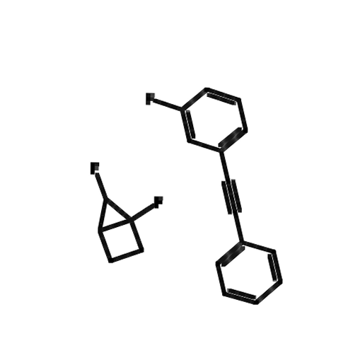 FC1C2CCC12F.Fc1cccc(C#Cc2ccccc2)c1